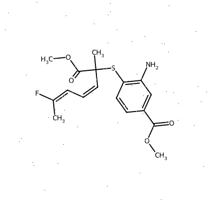 COC(=O)c1ccc(SC(C)(/C=C\C=C(/C)F)C(=O)OC)c(N)c1